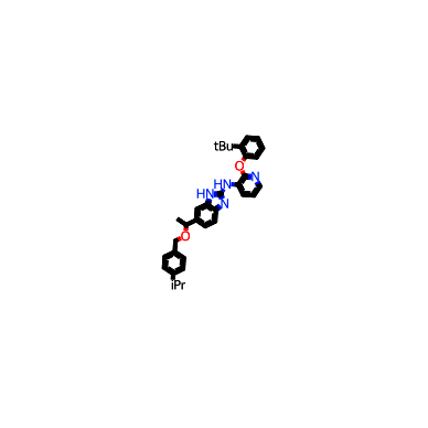 CC(C)c1ccc(COC(C)c2ccc3nc(Nc4cccnc4Oc4ccccc4C(C)(C)C)[nH]c3c2)cc1